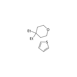 CCC1(CC)CCOCC1.c1ccsc1